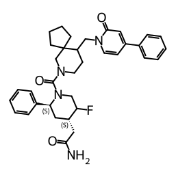 NC(=O)C[C@@H]1C[C@@H](c2ccccc2)N(C(=O)N2CCC(Cn3ccc(-c4ccccc4)cc3=O)C3(CCCC3)C2)CC1F